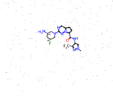 Cn1cc(NC(=O)c2ccc3cnc(N4C[C@H](N)C[C@@H](F)C4)nn23)c(C(F)(F)F)n1